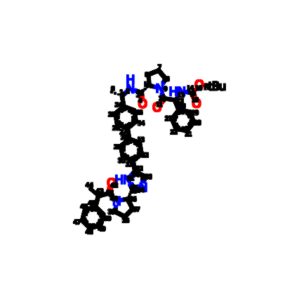 C[C@H](NC(=O)[C@@H]1CCCN1C(=O)[C@H](NC(=O)OC(C)(C)C)c1ccccc1)c1ccc(-c2ccc(-c3cnc([C@@H]4CCCN4C(=O)[C@H](C)c4ccccc4)[nH]3)cc2)cc1